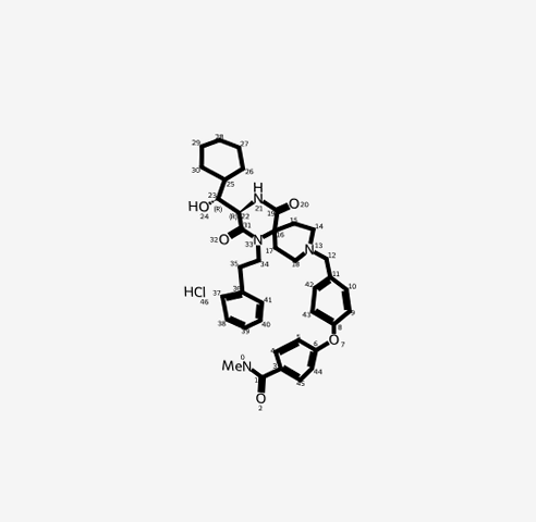 CNC(=O)c1ccc(Oc2ccc(CN3CCC4(CC3)C(=O)N[C@H]([C@H](O)C3CCCCC3)C(=O)N4CCc3ccccc3)cc2)cc1.Cl